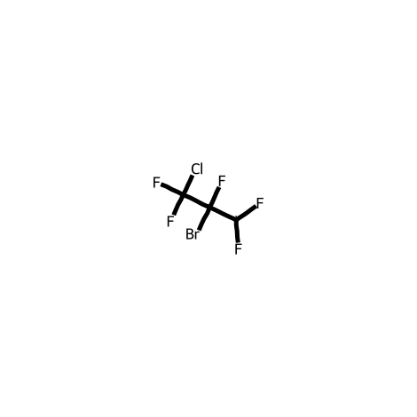 F[C](F)C(F)(Br)C(F)(F)Cl